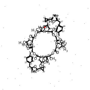 CC(C)C[C@H]1C(=O)O[C@H](Cc2ccc(Cc3nnc(C4CC4)o3)cc2)C(=O)N(C)[C@@H](CC(C)C)C(=O)O[C@H](C)C(=O)N(C)[C@@H](CC(C)C)C(=O)O[C@H](Cc2ccc(Cc3nnc(C4CC4)o3)cc2)C(=O)N(C)[C@@H](CC(C)C)C(=O)O[C@H](C)C(=O)N1C